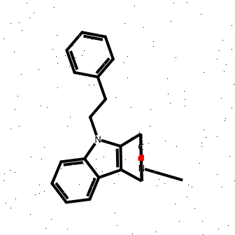 CN1CC2CCC1c1c2n(CCc2ccccc2)c2ccccc12